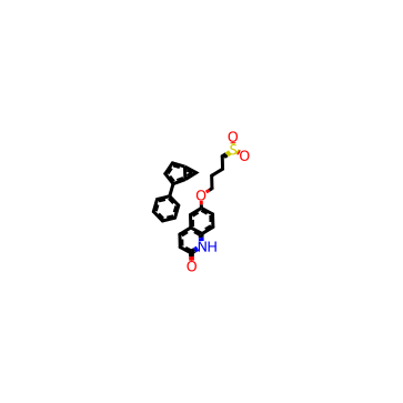 O=c1ccc2cc(OCCCC=S(=O)=O)ccc2[nH]1.c1ccc(-c2ccc3cc2-3)cc1